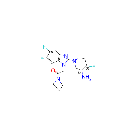 N[C@@H]1CN(c2nc3cc(F)c(F)cc3n2CC(=O)N2CCC2)CC[C@H]1F